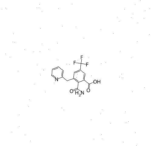 NC(=O)c1c(Cc2ccccn2)cc(C(F)(F)F)cc1C(=O)O